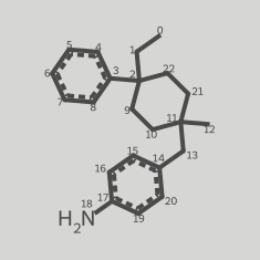 CCC1(c2ccccc2)CCC(C)(Cc2ccc(N)cc2)CC1